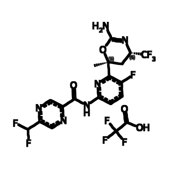 C[C@@]1(c2nc(NC(=O)c3cnc(C(F)F)cn3)ccc2F)C[C@@H](C(F)(F)F)N=C(N)O1.O=C(O)C(F)(F)F